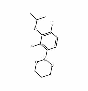 CC(C)Oc1c(Cl)ccc(B2OCCCO2)c1F